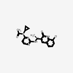 CC(=O)N(c1ccnc(N[C@@H](C)c2cc3cccc(Cl)c3[nH]c2=O)n1)C1CC1